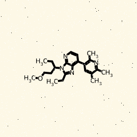 CCc1nc2c(-c3cc(C)c(C)nc3C)ccnc2n1C(CC)CCOC